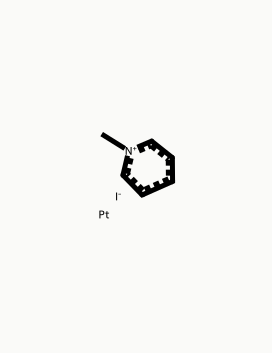 C[n+]1ccccc1.[I-].[Pt]